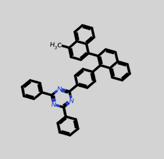 Cc1ccc(-c2ccc3ccccc3c2-c2ccc(-c3nc(-c4ccccc4)nc(-c4ccccc4)n3)cc2)c2ccccc12